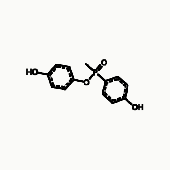 CP(=O)(Oc1ccc(O)cc1)c1ccc(O)cc1